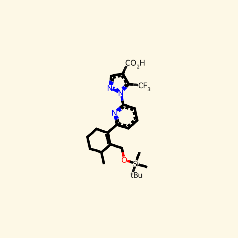 CC1CCCC(c2cccc(-n3ncc(C(=O)O)c3C(F)(F)F)n2)=C1CO[Si](C)(C)C(C)(C)C